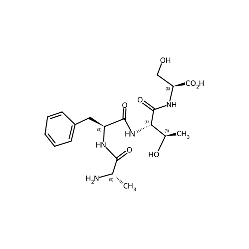 C[C@H](N)C(=O)N[C@@H](Cc1ccccc1)C(=O)N[C@H](C(=O)N[C@@H](CO)C(=O)O)[C@@H](C)O